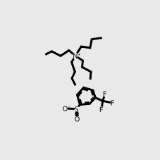 CCCC[N+](CCCC)(CCCC)CCCC.O=S([O-])c1cccc(C(F)(F)F)c1